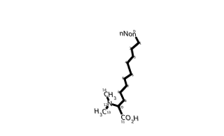 CCCCCCCCCCCCCCCCCCC(C(=O)O)N(C)C